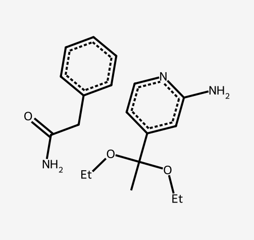 CCOC(C)(OCC)c1ccnc(N)c1.NC(=O)Cc1ccccc1